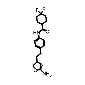 NC1=NC(CCc2ccc(NC(=O)C3CCC(F)(F)CC3)cc2)CO1